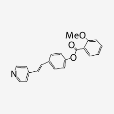 COc1ccccc1C(=O)Oc1ccc(/C=C/c2ccncc2)cc1